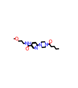 CCCCC(=O)N1CCN(c2ccc(C(=O)NCCCOC)cn2)CC1